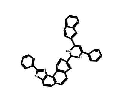 C1=C(c2ccccc2)NC(c2ccc3c(ccc4ccc5oc(-c6ccccc6)nc5c43)c2)NC1c1ccc2ccccc2c1